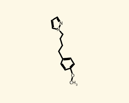 COc1ccc(CCCCn2cccn2)cc1